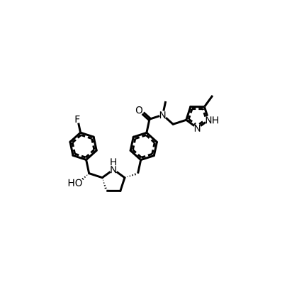 Cc1cc(CN(C)C(=O)c2ccc(C[C@@H]3CC[C@H]([C@H](O)c4ccc(F)cc4)N3)cc2)n[nH]1